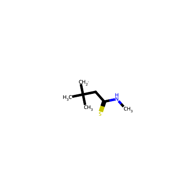 [CH2]C(C)(C)CC(=S)NC